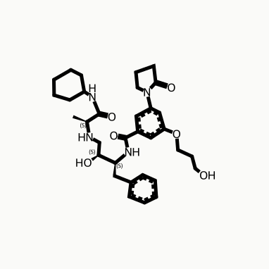 C[C@H](NC[C@H](O)[C@H](Cc1ccccc1)NC(=O)c1cc(OCCCO)cc(N2CCCC2=O)c1)C(=O)NC1CCCCC1